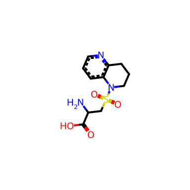 NC(CS(=O)(=O)N1CCCc2ncccc21)C(=O)O